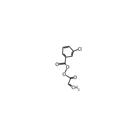 C=CC(=O)OOC(=O)c1cccc(Cl)c1